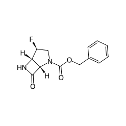 O=C1N[C@H]2[C@@H]1N(C(=O)OCc1ccccc1)C[C@@H]2F